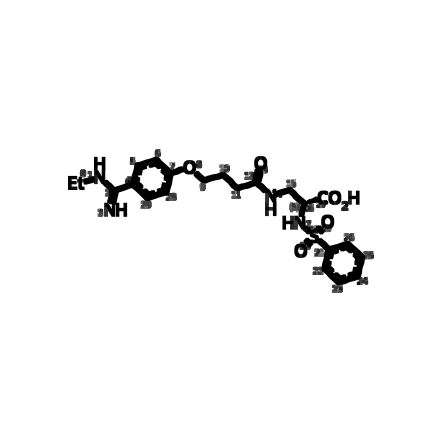 CCNC(=N)c1ccc(OCCCC(=O)NC[C@H](NS(=O)(=O)c2ccccc2)C(=O)O)cc1